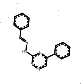 C(=N\Nc1nncc(-c2ccccc2)n1)/c1ccccc1